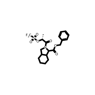 C[C@@H](OS(=O)(=O)C(F)(F)F)C(=O)N1CC2CCCCC2C1C(=O)OCc1ccccc1